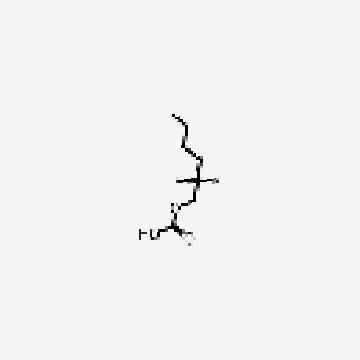 CCCCC(C)(C)COC(=O)O